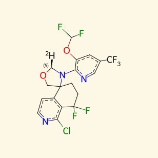 [2H][C@@H]1OCC2(CCC(F)(F)c3c2ccnc3Cl)N1c1ncc(C(F)(F)F)cc1OC(F)F